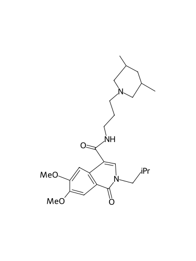 COc1cc2c(C(=O)NCCCN3CC(C)CC(C)C3)cn(CC(C)C)c(=O)c2cc1OC